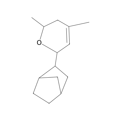 CC1=CC(C2CC3CCC2C3)OC(C)C1